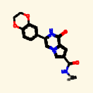 CC[C@@H](C)NC(=O)c1cc2c(=O)[nH]c(-c3ccc4c(c3)OCCO4)cn2c1